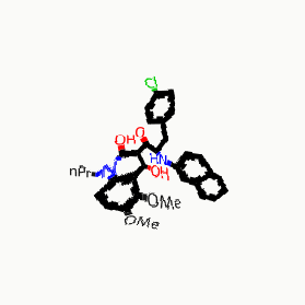 CCCN1C(O)=C(C(=O)C(Cc2ccc(Cl)cc2)Nc2ccc3ccccc3c2)C(O)c2c1ccc(OC)c2OC